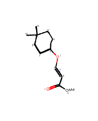 COC(=O)/C=C/OC1CCC(C)(C)CC1